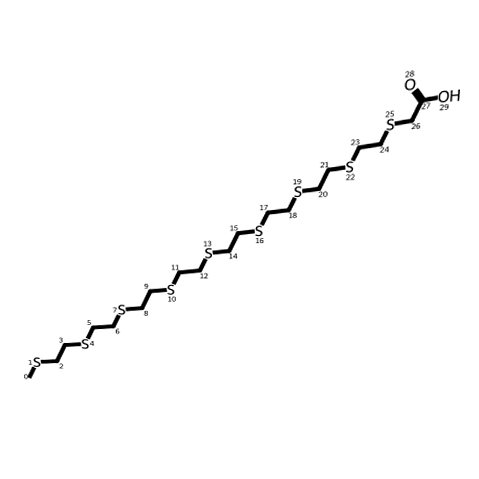 CSCCSCCSCCSCCSCCSCCSCCSCCSCC(=O)O